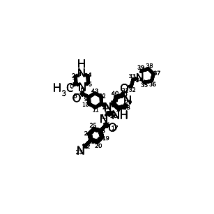 CC1CNCCN1C(=O)C1CCC(n2c(=NC(=O)c3ccc(C#N)cc3)[nH]c3cnc(OCCN4CCCCC4)cc32)CC1